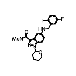 CNC(=O)c1nn(C2CCCCO2)c2ccc(NCc3cc(F)ccc3I)cc12